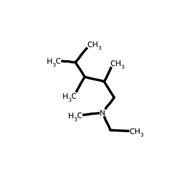 CCN(C)CC(C)C(C)C(C)C